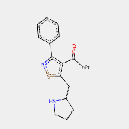 CCCC(=O)c1c(-c2ccccc2)nsc1CC1CCCN1